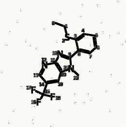 CCSc1ccccc1-c1nc2ncc(C(F)(F)F)cc2n1C